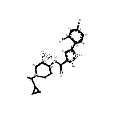 CC(C1CC1)N1CC[C@H](NC(=O)c2cc(-c3ccc(F)cc3F)on2)[C@@H](C(=O)O)C1